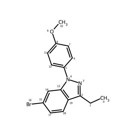 CCc1nn(-c2ccc(OC)cc2)c2cc(Br)ccc12